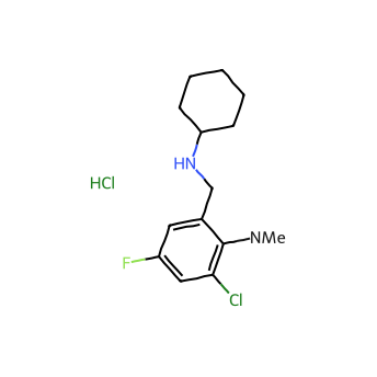 CNc1c(Cl)cc(F)cc1CNC1CCCCC1.Cl